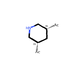 CC(=O)[C@@H]1CNC[C@H](C(C)=O)C1